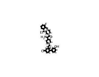 CCOc1cccc(F)c1CN1CCN(C(=O)[C@H](N)C2CCN(CCC3(F)CC(Cl)=CC=C3c3cccc(O)c3)CC2)CC1